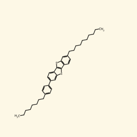 CCCCCCCCCCc1ccc2c(c1)sc1c3ccc(-c4ccc(CCCCCCCC)cc4)cc3sc21